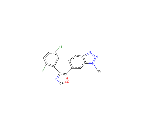 CC(C)n1nnc2ccc(-c3ocnc3-c3cc(Cl)ccc3F)cc21